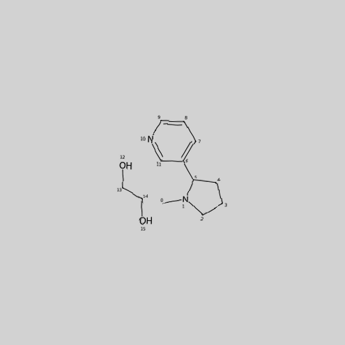 CN1CCCC1c1cccnc1.OCCO